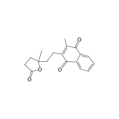 CC1=C(CCC2(C)CCC(=O)O2)C(=O)c2ccccc2C1=O